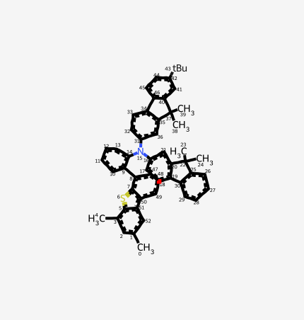 Cc1cc(C)c2sc3c(-c4ccccc4N(c4ccc5c(c4)C(C)(C)c4ccccc4-5)c4ccc5c(c4)C(C)(C)c4cc(C(C)(C)C)ccc4-5)cccc3c2c1